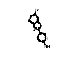 Nc1ccc(-c2nc3cc(Br)ccc3o2)cn1